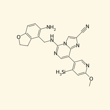 COc1cc([SiH3])c(-c2cnc(NCc3c(N)ccc4c3CCO4)n3cc(C#N)nc23)cn1